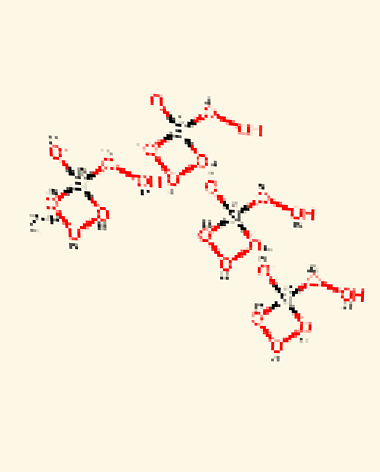 [O-][Si]1(OO)OOO1.[O-][Si]1(OO)OOO1.[O-][Si]1(OO)OOO1.[O-][Si]1(OO)OOO1.[Zr+4]